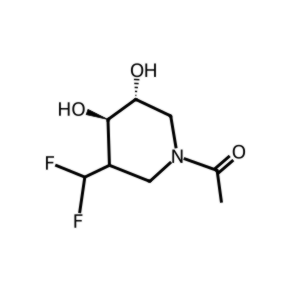 CC(=O)N1CC(C(F)F)[C@@H](O)[C@H](O)C1